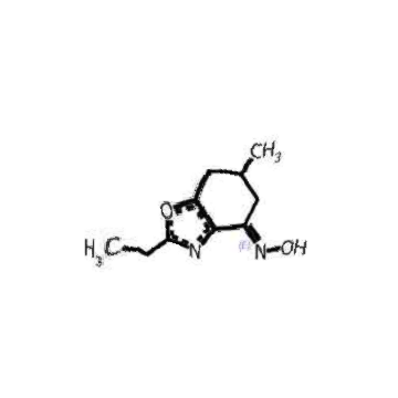 CCc1nc2c(o1)CC(C)C/C2=N\O